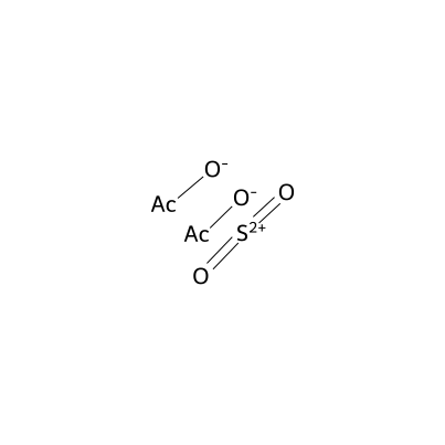 CC(=O)[O-].CC(=O)[O-].O=[S+2]=O